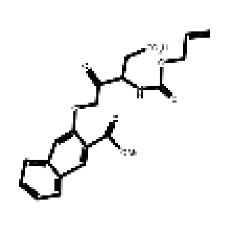 C=CCOC(=O)NC(CC(=O)O)C(=O)COc1cc2ccccc2cc1C(=O)OC